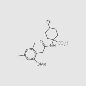 CCC1CCC(NC(=O)Cc2c(C)cc(C)cc2OC)(C(=O)O)CC1